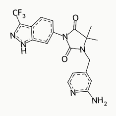 CC1(C)C(=O)N(c2ccc3c(C(F)(F)F)n[nH]c3c2)C(=O)N1Cc1ccnc(N)c1